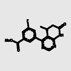 COC(=O)c1cc(F)cc(-c2ncnc3c2N(C)CC(=O)N3)c1